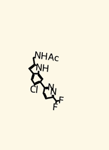 CC(=O)NCc1cc2cc(Cl)c(-c3ccc(C(F)F)nn3)cc2[nH]1